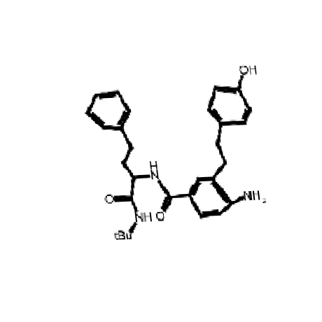 CC(C)(C)NC(=O)C(CCc1ccccc1)NC(=O)c1ccc(N)c(CCc2ccc(O)cc2)c1